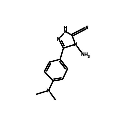 CN(C)c1ccc(-c2n[nH]c(=S)n2N)cc1